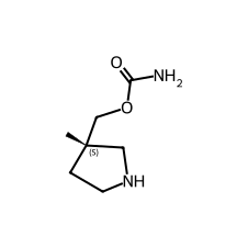 C[C@]1(COC(N)=O)CCNC1